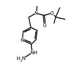 CN(Cc1ccc(NN)nc1)C(=O)OC(C)(C)C